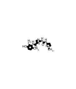 Cc1ccc(O)c(C)c1NC(=O)c1cnc(NC(=O)Nc2ccn(C)n2)s1